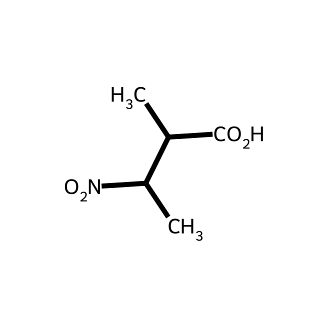 CC(C(=O)O)C(C)[N+](=O)[O-]